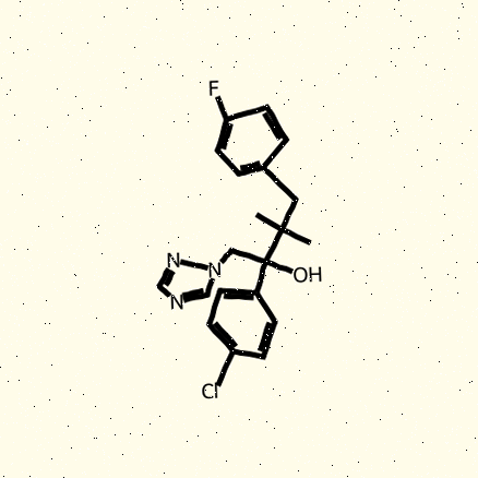 CC(C)(Cc1ccc(F)cc1)C(O)(Cn1cncn1)c1ccc(Cl)cc1